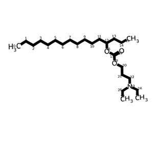 CCCCCCCCCCCCC(CCC)OC(=O)OCCCN(CC)CC